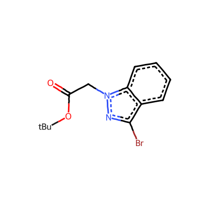 CC(C)(C)OC(=O)Cn1nc(Br)c2ccccc21